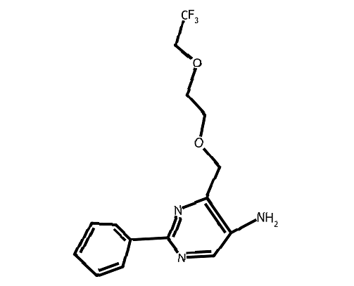 Nc1cnc(-c2ccccc2)nc1COCCOCC(F)(F)F